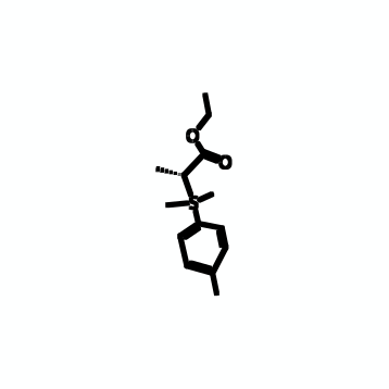 CCOC(=O)[C@@H](C)S(C)(C)c1ccc(C)cc1